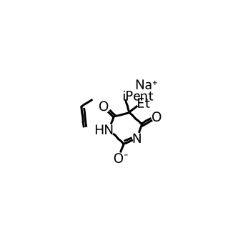 C=CC.CCCC(C)C1(CC)C(=O)N=C([O-])NC1=O.[Na+]